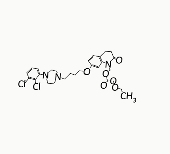 CCOOC(=O)OCN1C(=O)CCc2ccc(OCCCCN3CCN(c4cccc(Cl)c4Cl)CC3)cc21